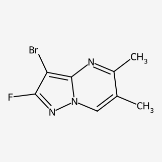 Cc1cn2nc(F)c(Br)c2nc1C